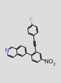 O=[N+]([O-])c1ccc(-c2ccc3cnccc3c2)c(C#Cc2ccc(F)cc2)c1